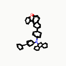 c1ccc(-c2ccc(N(c3ccc(-c4ccc5ccc6oc7ccccc7c6c5c4)cc3)c3cc4ccccc4c4ccccc34)cc2)cc1